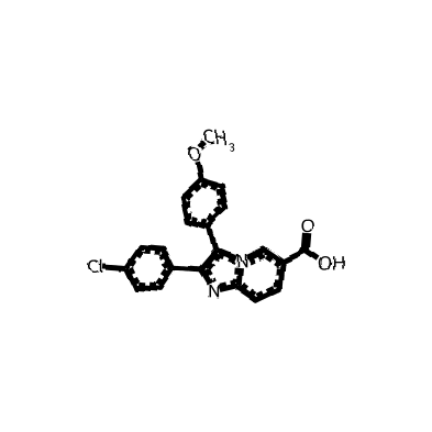 COc1ccc(-c2c(-c3ccc(Cl)cc3)nc3ccc(C(=O)O)cn23)cc1